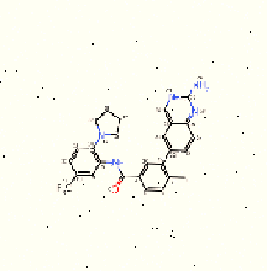 Cc1ccc(C(=O)Nc2cc(C(F)(F)F)ccc2N2CCCC2)cc1-c1ccc2nc(N)ncc2c1